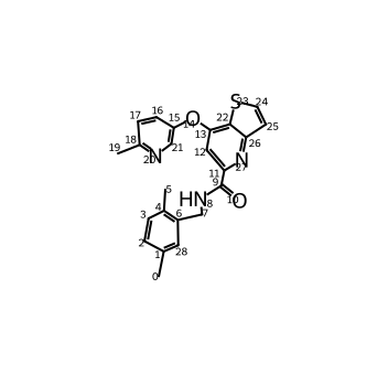 Cc1ccc(C)c(CNC(=O)c2cc(Oc3ccc(C)nc3)c3sccc3n2)c1